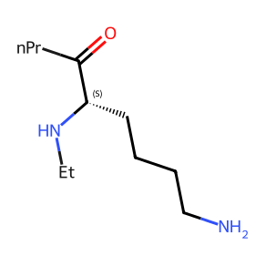 CCCC(=O)[C@H](CCCCN)NCC